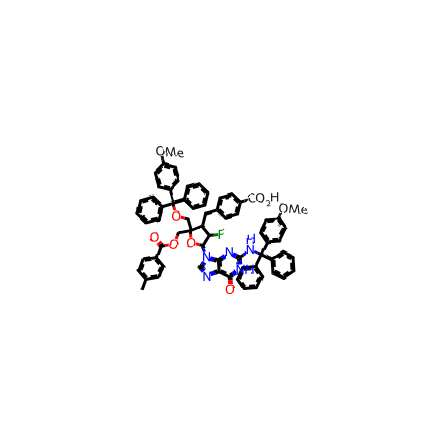 COc1ccc(C(Nc2nc3c(ncn3C3OC(COC(=O)c4ccc(C)cc4)(COC(c4ccccc4)(c4ccccc4)c4ccc(OC)cc4)C(Cc4ccc(C(=O)O)cc4)C3F)c(=O)[nH]2)(c2ccccc2)c2ccccc2)cc1